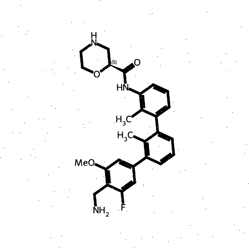 COc1cc(-c2cccc(-c3cccc(NC(=O)[C@@H]4CNCCO4)c3C)c2C)cc(F)c1CN